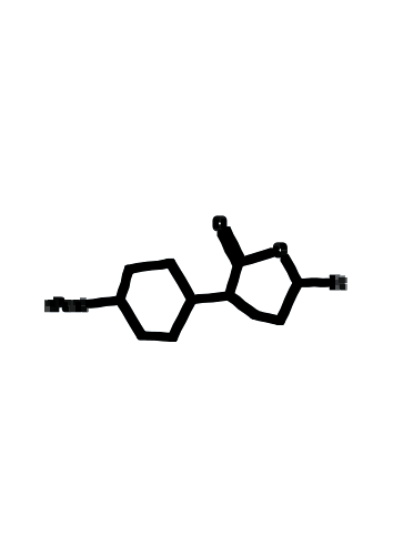 CCCCCC1CCC(C2CCC(CC)OC2=O)CC1